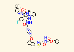 CCN1C(=O)[C@@H](NC(=O)c2cccc(C(F)(F)F)c2)[C@@H](c2ccc(F)cc2)c2c(CNC(=O)CCN3CCN(CCOc4cccc5ccc(-c6nc(CC(=O)NCC(=O)OCc7ccccc7)cs6)cc45)CC3)nn(-c3ccccc3)c21